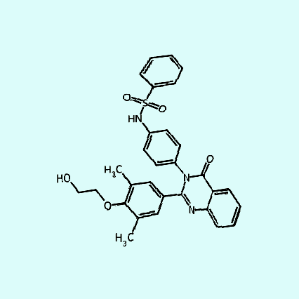 Cc1cc(-c2nc3ccccc3c(=O)n2-c2ccc(NS(=O)(=O)c3ccccc3)cc2)cc(C)c1OCCO